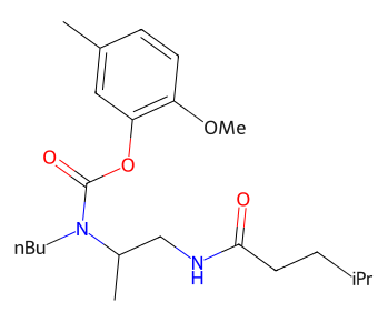 CCCCN(C(=O)Oc1cc(C)ccc1OC)C(C)CNC(=O)CCC(C)C